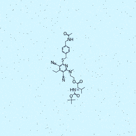 CCc1c(C#N)c(SCc2ccc(CNC(C)=O)cc2)nc(N(C)CCOC(=O)[C@@H](NC(=O)OC(C)(C)C)C(C)C)c1C#N